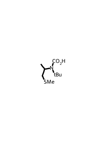 CSCC(C)N(C(=O)O)C(C)(C)C